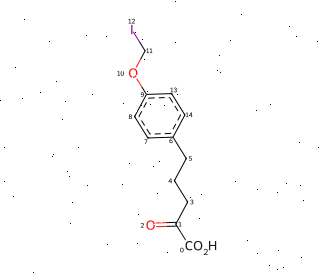 O=C(O)C(=O)CCCc1ccc(OCI)cc1